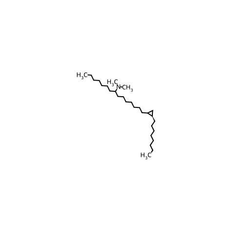 CCCCCCCC[C@@H]1CC1CCCCCCCC(CCCCCCC)N(C)C